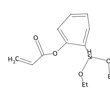 C=CC(=O)Oc1ccccc1[SiH](OCC)OCC